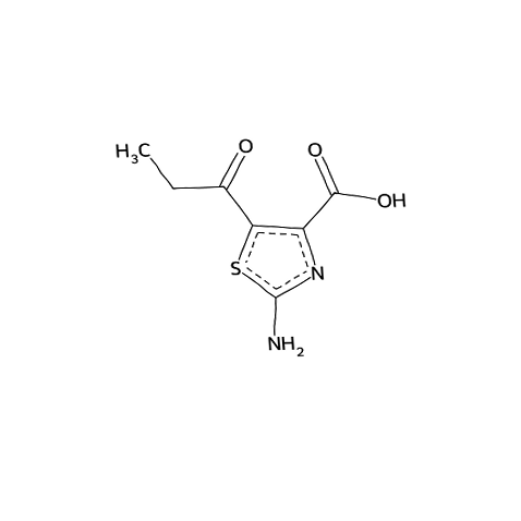 CCC(=O)c1sc(N)nc1C(=O)O